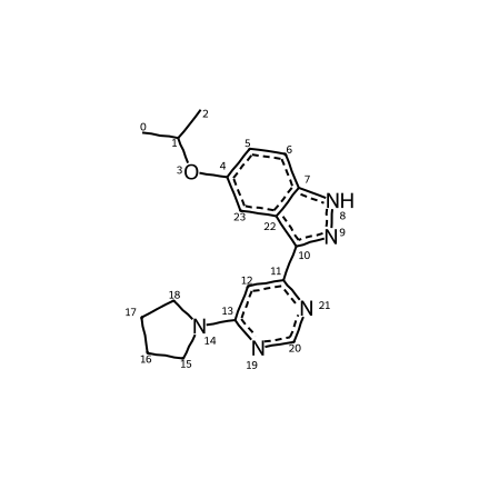 CC(C)Oc1ccc2[nH]nc(-c3cc(N4CCCC4)ncn3)c2c1